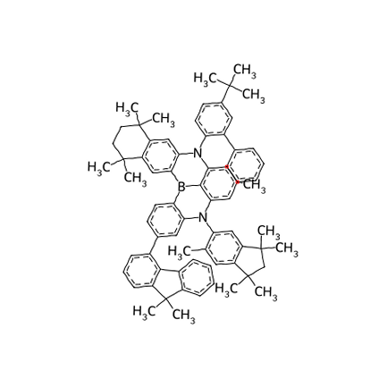 Cc1cc2c3c(c1)N(c1ccc(C(C)(C)C)cc1-c1ccccc1)c1cc4c(cc1B3c1ccc(-c3cccc5c3-c3ccccc3C5(C)C)cc1N2c1cc2c(cc1C)C(C)(C)CC2(C)C)C(C)(C)CCC4(C)C